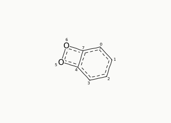 [c]1cccc2ooc12